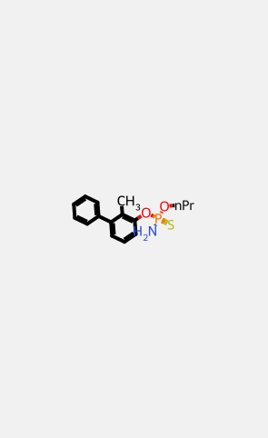 CCCO[P@](N)(=S)Oc1cccc(-c2ccccc2)c1C